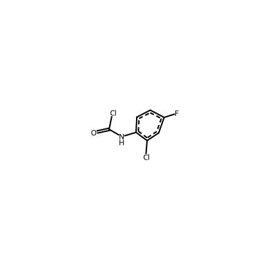 O=C(Cl)Nc1ccc(F)cc1Cl